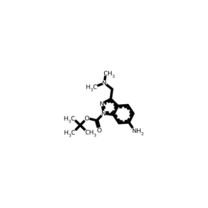 CN(C)Cc1nn(C(=O)OC(C)(C)C)c2cc(N)ccc12